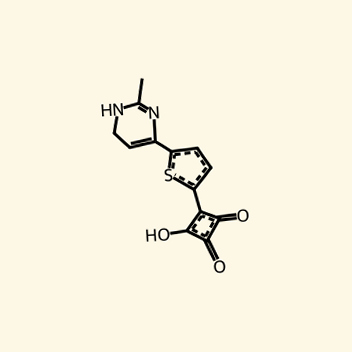 CC1=NC(c2ccc(-c3c(O)c(=O)c3=O)s2)=CCN1